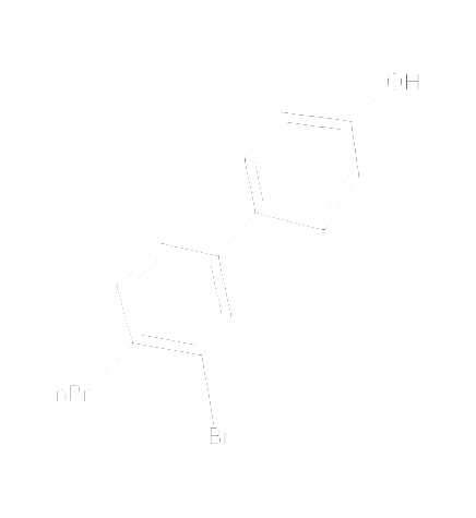 CCCc1ccc(-c2ccc(O)cc2)cc1Br